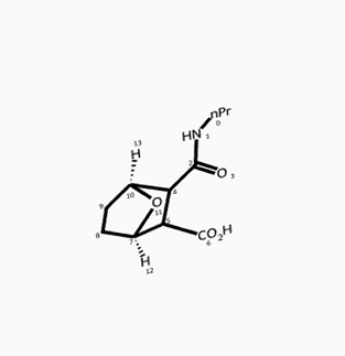 CCCNC(=O)C1C(C(=O)O)[C@H]2CC[C@@H]1O2